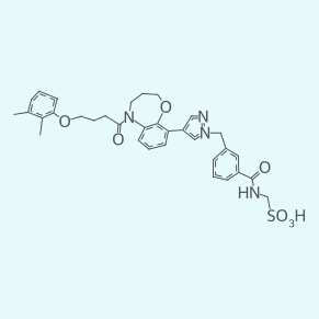 Cc1cccc(OCCCC(=O)N2CCCOc3c(-c4cnn(Cc5cccc(C(=O)NCS(=O)(=O)O)c5)c4)cccc32)c1C